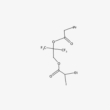 CCC(I)C(=O)OCC(OC(=O)CC(C)C)(C(F)(F)F)C(F)(F)F